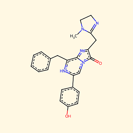 CN1CCN=C1Cc1nc2c(Cc3ccccc3)[nH]c(-c3ccc(O)cc3)cn-2c1=O